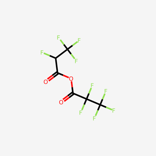 O=C(OC(=O)C(F)(F)C(F)(F)F)C(F)C(F)(F)F